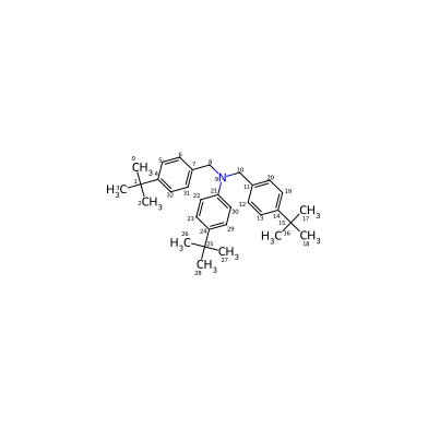 CC(C)(C)c1ccc(CN(Cc2ccc(C(C)(C)C)cc2)c2ccc(C(C)(C)C)cc2)cc1